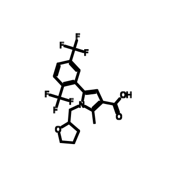 Cc1c(C(=O)O)cc(-c2cc(C(F)(F)F)ccc2C(F)(F)F)n1CC1CCCO1